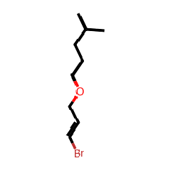 CC(C)CCCOC/C=C/Br